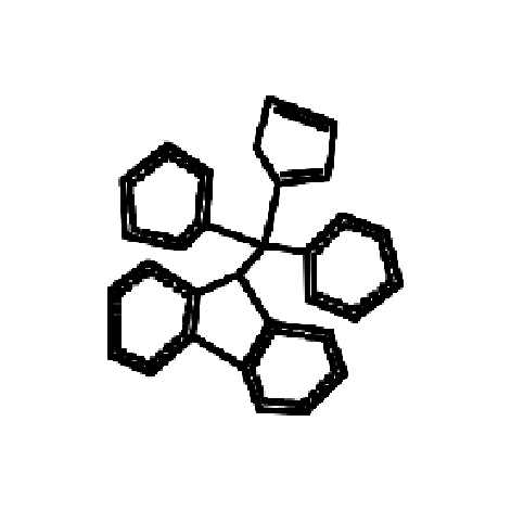 C1=CCC(C(c2ccccc2)(c2ccccc2)C2c3ccccc3-c3ccccc32)=C1